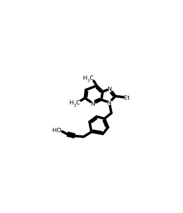 CCc1nc2c(C)cc(C)nc2n1Cc1ccc(CC#CO)cc1